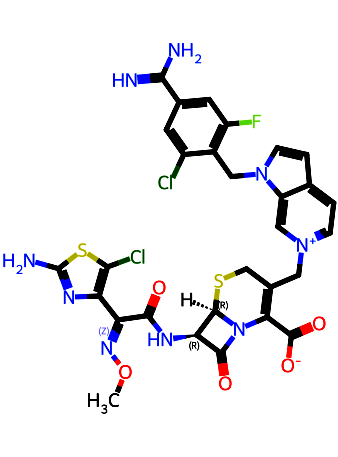 CO/N=C(\C(=O)N[C@@H]1C(=O)N2C(C(=O)[O-])=C(C[n+]3ccc4ccn(Cc5c(F)cc(C(=N)N)cc5Cl)c4c3)CS[C@H]12)c1nc(N)sc1Cl